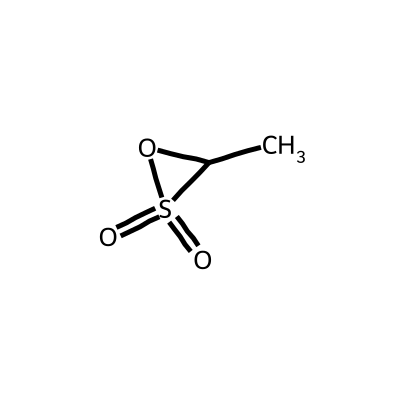 CC1OS1(=O)=O